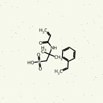 C=CC(=O)NC(C)(C)CS(=O)(=O)O.C=Cc1ccccc1